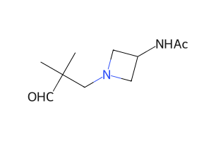 CC(=O)NC1CN(CC(C)(C)C=O)C1